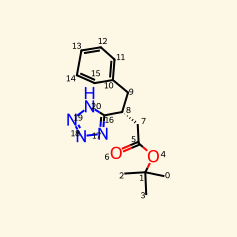 CC(C)(C)OC(=O)C[C@@H](Cc1ccccc1)c1nnn[nH]1